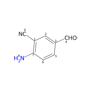 N#Cc1cc([C]=O)ccc1N